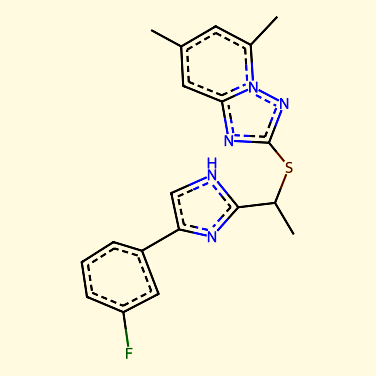 Cc1cc(C)n2nc(SC(C)c3nc(-c4cccc(F)c4)c[nH]3)nc2c1